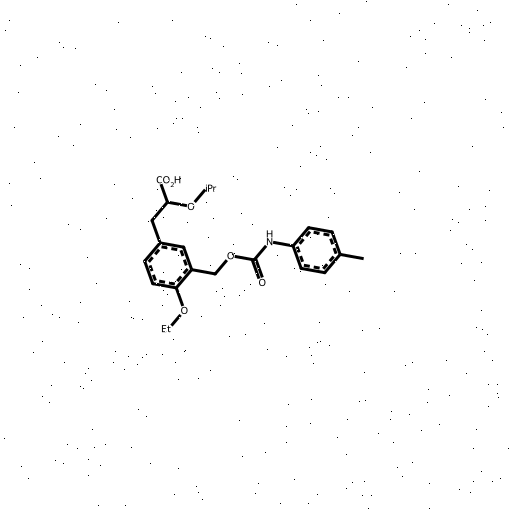 CCOc1ccc(CC(OC(C)C)C(=O)O)cc1COC(=O)Nc1ccc(C)cc1